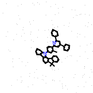 Cc1cc(-n2c3ccccc3c3ccc4c(c32)-c2ccccc2C4(C)C)ccc1-c1cc(-c2ccccc2)cc(-c2ccccc2)n1